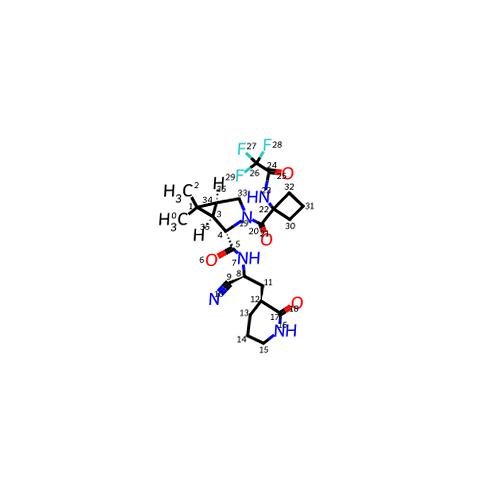 CC1(C)[C@@H]2[C@@H](C(=O)N[C@H](C#N)C[C@@H]3CCCNC3=O)N(C(=O)C3(NC(=O)C(F)(F)F)CCC3)C[C@@H]21